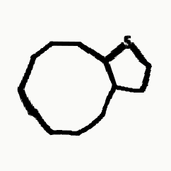 C1CCCCC2SCCC2CCC1